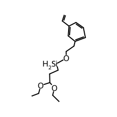 C=Cc1cccc(CCO[SiH2]CCC(OCC)OCC)c1